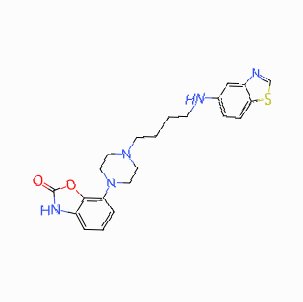 O=c1[nH]c2cccc(N3CCN(CCCCNc4ccc5scnc5c4)CC3)c2o1